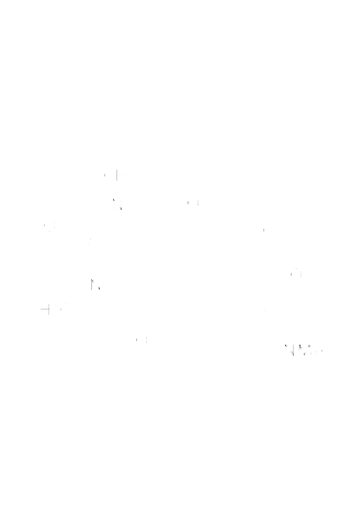 CNC(=O)Cc1c(Cl)oc2c1c(=O)n(C)c(=O)n2C